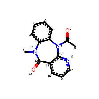 CC(=O)N1c2ccccc2N(C)C(=O)c2cccnc21